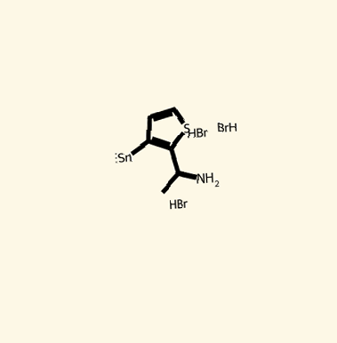 Br.Br.Br.CC(N)c1scc[c]1[Sn]